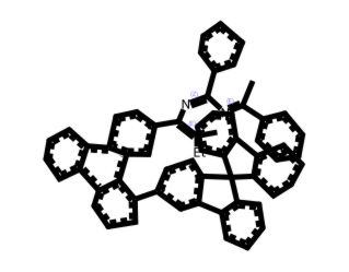 CC/C(C)=C(/N=C(\N=C(/C)c1ccccc1)c1ccccc1)c1ccc2c3ccccc3c3cccc(-c4ccc5c(c4)-c4ccccc4C54c5ccccc5-c5ccccc54)c3c2c1